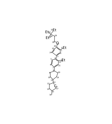 CCc1cc(-c2ccc(C3CCC(C4CCC(C)CC4)CC3)cc2CC)ccc1OCCC(CC)(CC)CC